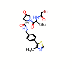 Cc1ncsc1-c1ccc(CNC(=O)[C@@H]2CC(=O)CN2C(=O)C(NC(=O)CBr)C(C)(C)C)cc1